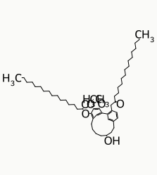 CCCCCCCCCCCCCCCC(=O)Cc1ccc2cc1-c1cc(c(OC(=O)CCCCCCCCCCCCCCC)c(OC)c1OC)CCCC[C@H](O)CC2